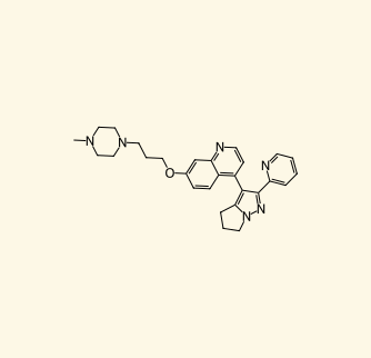 CN1CCN(CCCOc2ccc3c(-c4c(-c5ccccn5)nn5c4CCC5)ccnc3c2)CC1